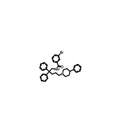 O=C(NCC(CCCN1CCC(c2ccccc2)CC1)(c1ccccc1)c1ccccc1)c1cccc(Br)c1